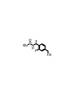 C[C@H](N[S+]([O-])C(C)(C)C)c1ccc(CC#N)cc1F